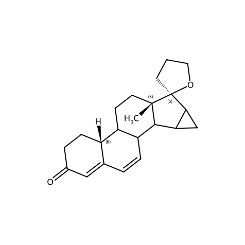 C[C@]12CCC3C(C=CC4=CC(=O)CC[C@@H]43)C1C1CC1[C@@]21CCCO1